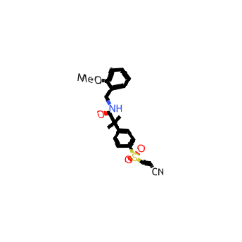 COc1ccccc1CNC(=O)C(C)(C)c1ccc(S(=O)(=O)C=CC#N)cc1